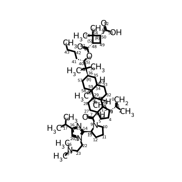 C=C(C)[C@@H]1CC[C@]2(C(=O)N3CCC[C@H]3c3nc(C(C)C)cn3CCN(C)C)CC[C@]3(C)[C@H](CC[C@@H]4C[C@H](C(C)(C)[C@H](CCCC)OC(=O)[C@H]5C[C@@H](C(=O)O)C5(C)C)CC[C@]43C)[C@@H]12